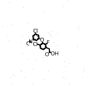 [C-]#[N+]c1cc(Cl)cc(Oc2c(Cl)ccc(CC(=O)O)c2F)c1